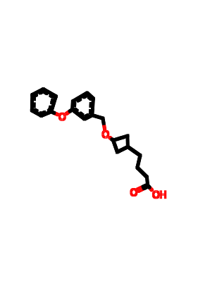 O=C(O)CCCC1CC(OCc2cccc(Oc3ccccc3)c2)C1